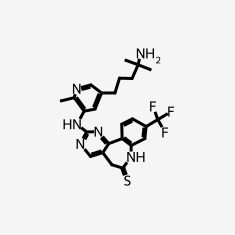 Cc1ncc(CCCC(C)(C)N)cc1Nc1ncc2c(n1)-c1ccc(C(F)(F)F)cc1NC(=S)C2